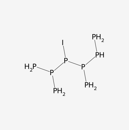 PPP(P)P(I)P(P)P